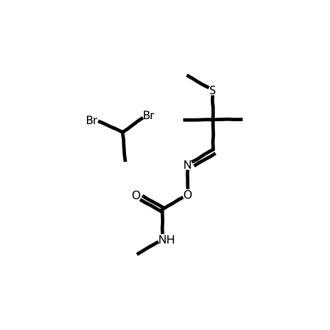 CC(Br)Br.CNC(=O)O/N=C/C(C)(C)SC